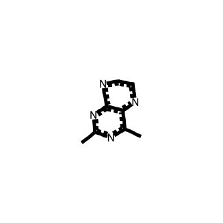 Cc1nc(C)c2nccnc2n1